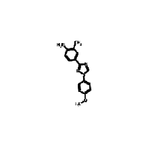 Cc1cc(-c2ncn(-c3ccc(OC(F)(F)F)cc3)n2)ccc1N